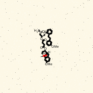 COc1cccc(CCc2ccccc2OC[C@H](CN(C)C)OC(=O)CCC(=O)OC2CC[C@@]34CCCC[C@@H]3[C@@H]2Cc2ccc(OC)cc24)c1